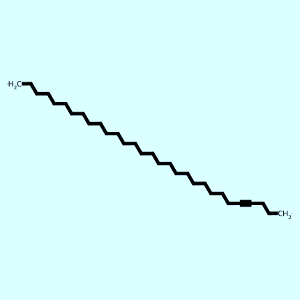 [CH2]CCC#CCCCCCCCCCCCCCCCCCCCCCCCC[CH2]